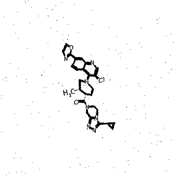 C[C@@H]1CN(c2c(Cl)cnc3cc(-c4ncco4)ccc23)CC[C@@H]1C(=O)N1CCn2c(nnc2C2CC2)C1